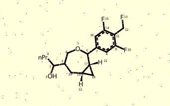 CCCC(O)C1COC(c2cc(F)c(CF)c(F)c2)[C@@H]2C[C@@H]2C1